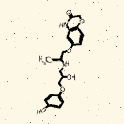 CC(COc1ccc2c(c1)NC(=O)CO2)NCC(O)COc1ccc(O)cc1